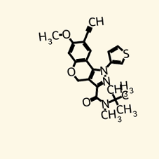 C#Cc1cc2c(cc1OC)OCc1c(C(=O)N(C)C(C)(C)C)nn(-c3ccsc3)c1-2